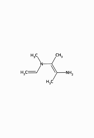 C=CN(C)/C(C)=C(\C)N